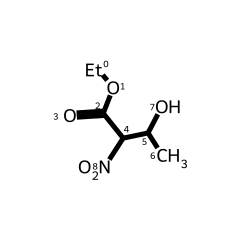 CCOC(=O)C(C(C)O)[N+](=O)[O-]